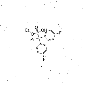 CCOP(=O)(O)C(c1ccc(F)cc1)(c1ccc(F)cc1)C(C)C